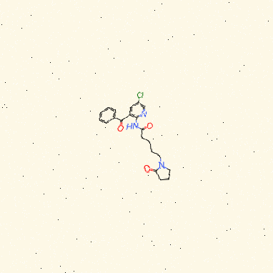 O=C(CCCCN1CCCC1=O)Nc1ncc(Cl)cc1C(=O)c1ccccc1